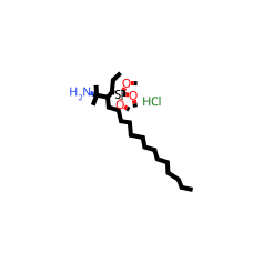 CCCCCCCCCCCCCCC(C(CC)[Si](OC)(OC)OC)C(C)(C)N.Cl